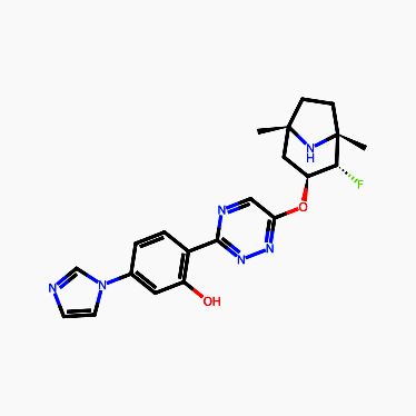 C[C@@]12CC[C@@](C)(N1)[C@H](F)[C@@H](Oc1cnc(-c3ccc(-n4ccnc4)cc3O)nn1)C2